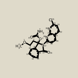 COCCC1(OC(N)=O)c2ccccc2C(=O)N1c1ccc2ccc(Cl)nc2n1